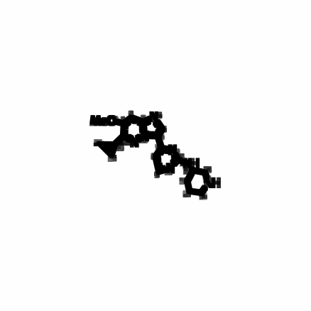 COc1cc2ncc(-c3ccnc(N[C@@H]4CCCNC4)n3)n2nc1C1CC1